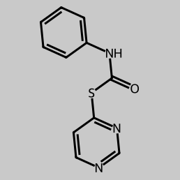 O=C(Nc1ccccc1)Sc1ccncn1